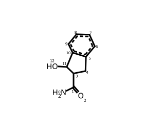 NC(=O)C1Cc2ccccc2C1O